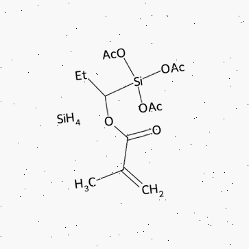 C=C(C)C(=O)OC(CC)[Si](OC(C)=O)(OC(C)=O)OC(C)=O.[SiH4]